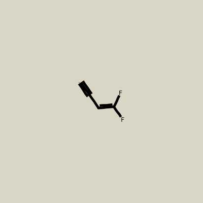 [C]#CC=C(F)F